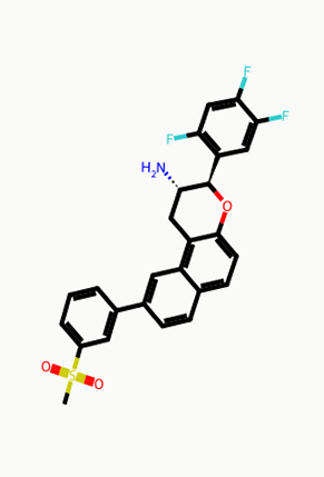 CS(=O)(=O)c1cccc(-c2ccc3ccc4c(c3c2)C[C@H](N)[C@@H](c2cc(F)c(F)cc2F)O4)c1